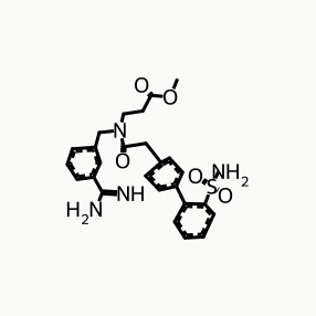 COC(=O)CCN(Cc1cccc(C(=N)N)c1)C(=O)Cc1ccc(-c2ccccc2S(N)(=O)=O)cc1